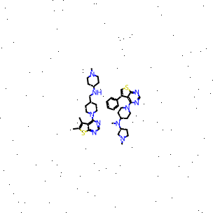 CN1CCC(N(C)C2CCN(c3ncnc4scc(-c5ccccc5)c34)CC2)C1.Cc1sc2ncnc(N3CCC(CNC4CCN(C)CC4)CC3)c2c1C